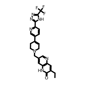 CCc1cc2ncc(CN3CC=C(c4ccc(-c5nnc(C(F)(F)F)[nH]5)nc4)CC3)cc2[nH]c1=O